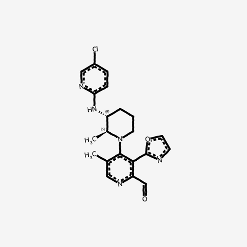 Cc1cnc(C=O)c(-c2ncco2)c1N1CCC[C@@H](Nc2ccc(Cl)cn2)[C@@H]1C